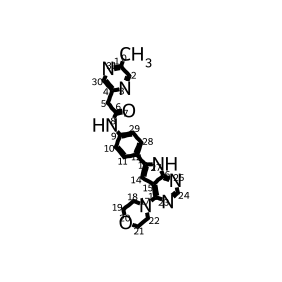 Cc1cnc(CC(=O)Nc2ccc(-c3cc4c(N5CCOCC5)ncnc4[nH]3)cc2)cn1